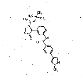 C[C@H](Nc1nccc(N2C(=O)OC[C@@H]2[C@@H](C)OC(C)(C)C)n1)c1ccc(-c2cnn(C)c2)cc1